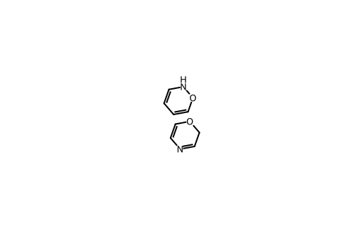 C1=CNOC=C1.C1=COCC=N1